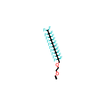 C=COCCOCC(F)(F)C(F)(F)C(F)(F)C(F)(F)C(F)(F)C(F)(F)C(F)(F)C(F)(F)C(F)(F)C(F)F